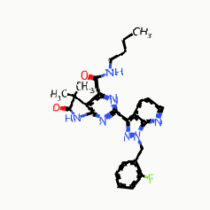 CCCCNC(=O)c1nc(-c2nn(Cc3ccccc3F)c3ncccc23)nc2c1C(C)(C)C(=O)N2